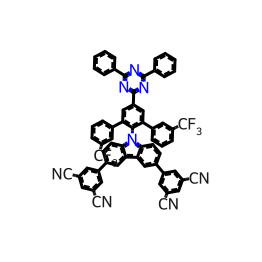 N#Cc1cc(C#N)cc(-c2ccc3c(c2)c2cc(-c4cc(C#N)cc(C#N)c4)ccc2n3-c2c(-c3cccc(C(F)(F)F)c3)cc(-c3nc(-c4ccccc4)nc(-c4ccccc4)n3)cc2-c2cccc(C(F)(F)F)c2)c1